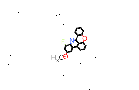 COc1cc(F)c2nc3c4c(cccc4c2c1)Oc1ccccc1-3